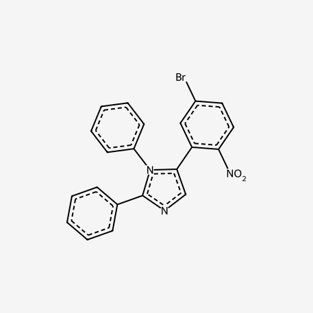 O=[N+]([O-])c1ccc(Br)cc1-c1cnc(-c2ccccc2)n1-c1ccccc1